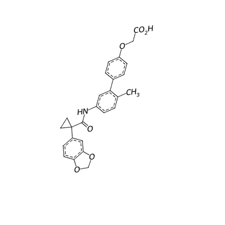 Cc1ccc(NC(=O)C2(c3ccc4c(c3)OCO4)CC2)cc1-c1ccc(OCC(=O)O)cc1